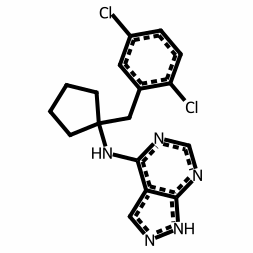 Clc1ccc(Cl)c(CC2(Nc3ncnc4[nH]ncc34)CCCC2)c1